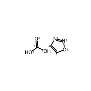 O=C(O)O.c1conn1